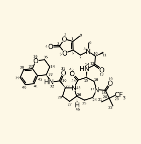 Cc1oc(=O)oc1CN(C)[C@@H](C)C(=O)N[C@H]1CN(C(=O)C(C)(C)C(F)(F)F)CC[C@H]2CC[C@@H](C(=O)N[C@@H]3CCOc4ccccc43)N2C1=O